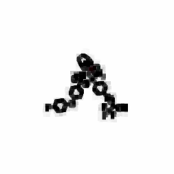 NC1CC2CCC(C1)N2C(=O)[C@@H](NS(=O)(=O)c1ccc(Oc2ccc(F)cc2)cc1)C(F)(F)c1ccc(Br)cc1.O=C(O)C(F)(F)F